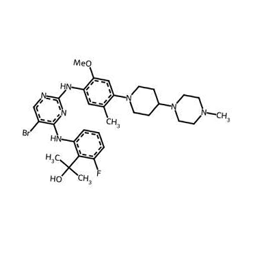 COc1cc(N2CCC(N3CCN(C)CC3)CC2)c(C)cc1Nc1ncc(Br)c(Nc2cccc(F)c2C(C)(C)O)n1